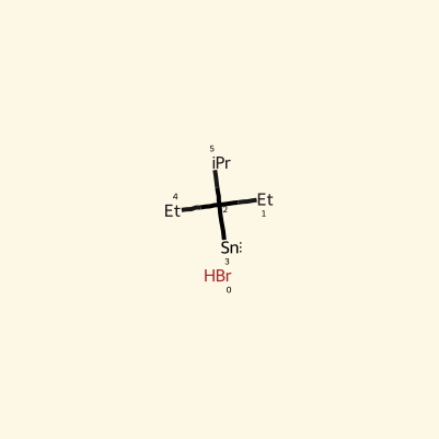 Br.CC[C]([Sn])(CC)C(C)C